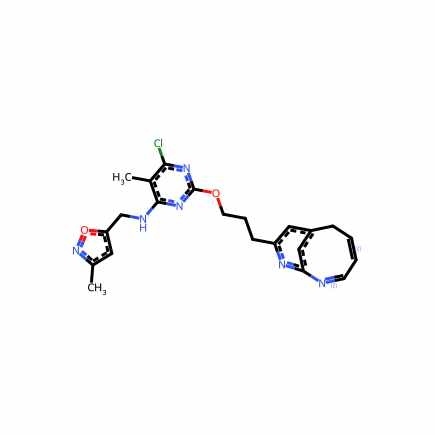 Cc1cc(CNc2nc(OCCCc3cc4cc(n3)/N=C\C=C/C4)nc(Cl)c2C)on1